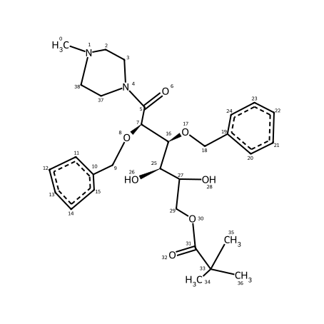 CN1CCN(C(=O)[C@H](OCc2ccccc2)[C@@H](OCc2ccccc2)[C@H](O)C(O)COC(=O)C(C)(C)C)CC1